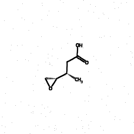 C[C@@H](CC(=O)O)[C@H]1CO1